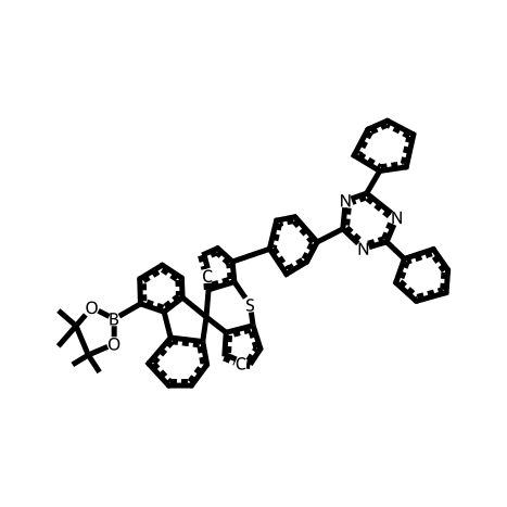 CC1(C)OB(c2cccc3c2-c2ccccc2C32c3ccccc3Sc3c(-c4ccc(-c5nc(-c6ccccc6)nc(-c6ccccc6)n5)cc4)cccc32)OC1(C)C